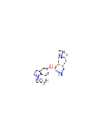 CN1CCc2cncc(Oc3ccc4c(ccn4C(=O)O)c3)c2C1